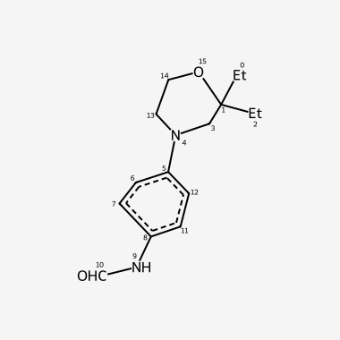 CCC1(CC)CN(c2ccc(NC=O)cc2)CCO1